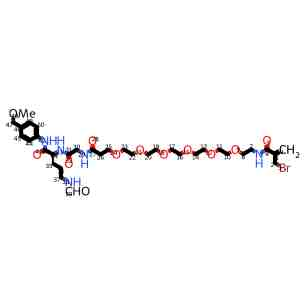 C=C(CBr)C(=O)NCCOCCOCCOCCOCCOCCOCCC(=O)NCC(=O)N[C@@H](CCCNC=O)C(=O)Nc1ccc(COC)cc1